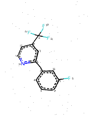 Fc1cccc(-c2cc(C(F)(F)F)ccn2)c1